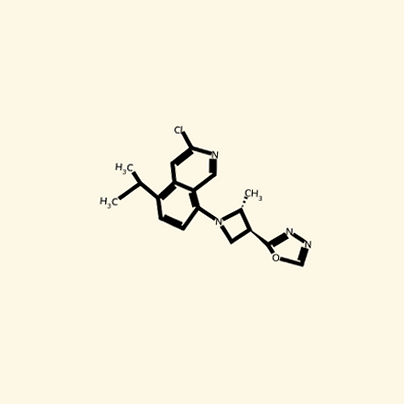 CC(C)c1ccc(N2C[C@H](c3nnco3)[C@H]2C)c2cnc(Cl)cc12